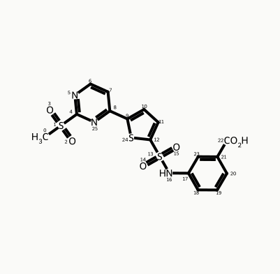 CS(=O)(=O)c1nccc(-c2ccc(S(=O)(=O)Nc3cccc(C(=O)O)c3)s2)n1